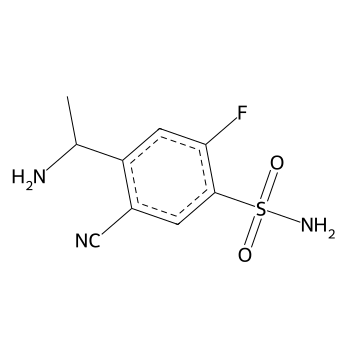 CC(N)c1cc(F)c(S(N)(=O)=O)cc1C#N